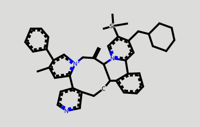 C=C1C[n+]2cc(-c3ccccc3)c(C)cc2-c2ccncc2CCC2c3ccccc3-c3cc(CC4CCCCC4)c([Si](C)(C)C)c[n+]3C12